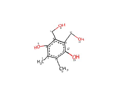 Cc1c(C)c(O)c(CO)c(CO)c1O